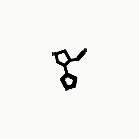 O=CC1CNCC1c1ccsc1